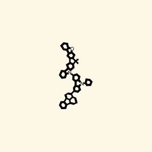 CC1(C)c2cc3oc4ccccc4c3cc2-c2cc3c4ccccc4n(-c4ccc5c(c4)c4cc(C6=CC=C7c8ccccc8C8=CC=CC6C87)ccc4n5-c4ccccc4)c3cc21